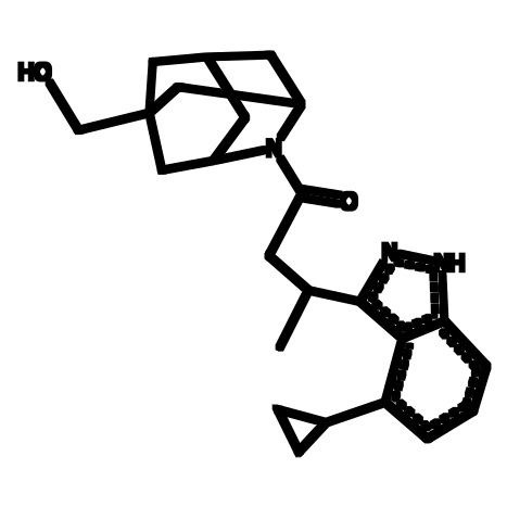 CC(CC(=O)N1C2CC3CC1CC(CO)(C3)C2)c1n[nH]c2cccc(C3CC3)c12